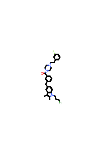 Cc1c(C)n(CCCCl)c2ccc(Cc3cccc(C(=O)N4CCN(CCc5cccc(F)c5)CC4)c3)cc12